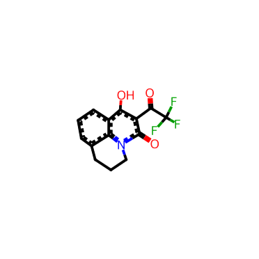 O=C(c1c(O)c2cccc3c2n(c1=O)CCC3)C(F)(F)F